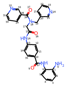 Nc1ccccc1NC(=O)c1ccc(NC(=O)CN(Cc2cccnc2)C(=O)c2cccnc2)cc1